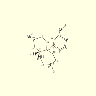 COc1cccc([C@@]23CCCC[C@H]2NC[C+](C)CC3)c1.[Br-]